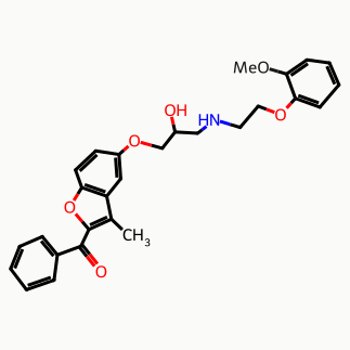 COc1ccccc1OCCNCC(O)COc1ccc2oc(C(=O)c3ccccc3)c(C)c2c1